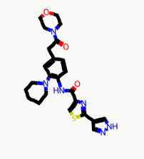 O=C(Nc1ccc(CC(=O)N2CCOCC2)cc1N1CCCCC1)c1csc(-c2cn[nH]c2)n1